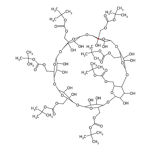 CC(C)(C)OC(=O)OCC1OC2OC3C(COC(=O)OC(C)(C)C)OC(OC4C(COC(=O)OC(C)(C)C)OC(OC5C(COC(=O)OC(C)(C)C)OC(OC6C(COC(=O)OC(C)(C)C)OC(OC7C(COC(=O)OC(C)(C)C)OC(OC8C(COC(=O)OC(C)(C)C)OC(OC1C(O)C2O)C(O)C8O)C(O)C7O)C(O)C6O)C(O)C5O)C(O)C4O)C(O)C3O